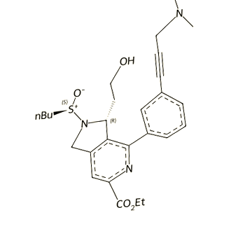 CCCC[S@@+]([O-])N1Cc2cc(C(=O)OCC)nc(-c3cccc(C#CCN(C)C)c3)c2[C@H]1CCO